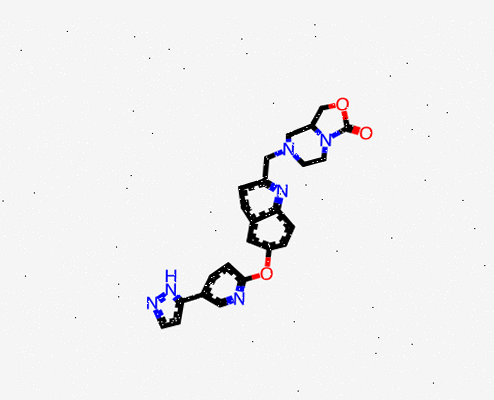 O=C1OCC2CN(Cc3ccc4cc(Oc5ccc(-c6ccn[nH]6)cn5)ccc4n3)CCN12